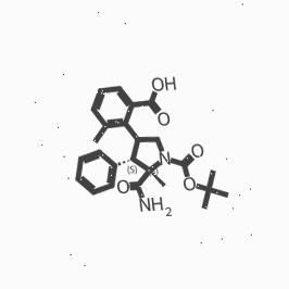 Cc1cccc(C(=O)O)c1C1CN(C(=O)OC(C)(C)C)[C@](C)(C(N)=O)[C@@H]1c1ccccc1